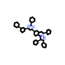 c1ccc(-c2cccc(-c3cc(-c4ccc5c(c4)cc(-c4ccccc4)n4nc(-c6ccccc6)c(-c6ccccc6)c54)nc(-c4ccccc4)n3)c2)cc1